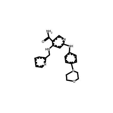 NC(=O)c1cnc(Nc2ccc(N3CCOCC3)cc2)cc1NCc1ccccn1